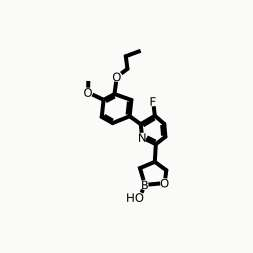 CCCOc1cc(-c2nc(C3COB(O)C3)ccc2F)ccc1OC